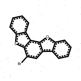 Brc1cc2c3ccccc3oc2c2c1sc1ccccc12